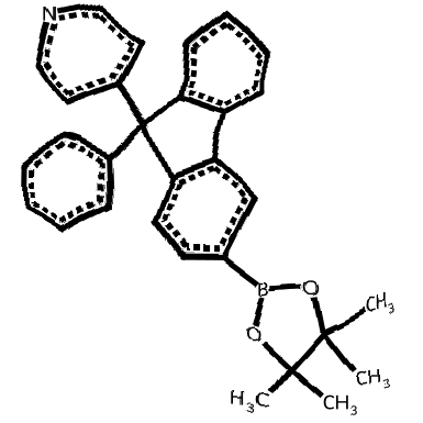 CC1(C)OB(c2ccc3c(c2)-c2ccccc2C3(c2ccccc2)c2ccncc2)OC1(C)C